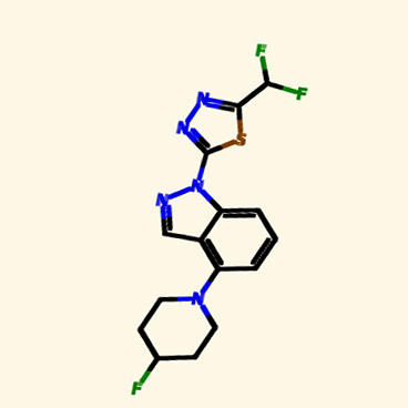 FC1CCN(c2cccc3c2cnn3-c2nnc(C(F)F)s2)CC1